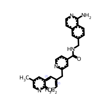 C=c1ncc(C)c/c1=C/C(=C\C)Cc1cc(C(=O)NCc2ccc3c(N)nccc3c2)ccn1